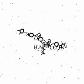 C=C(C)O/C(C)=C(\N)C(=O)N1Cc2cc3c(cc2C[C@H]1C(=O)N[C@@H](Cc1ccc(-c2ccnc(C)c2C)cc1)C(=O)O)OC[C@H](c1ccc(OCc2ccc(C)c(C)c2)cc1)O3